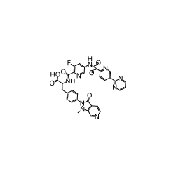 Cn1c2cnccc2c(=O)n1-c1ccc(C[C@H](NC(=O)c2ncc(NS(=O)(=O)c3ccc(-c4ncccn4)cn3)cc2F)C(=O)O)cc1